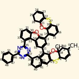 CC1C=CC2Sc3cccc(-c4cc(-c5cccc6c5OC5=C(C=CCC5)S6)c5oc6cccc(-c7nc(C8=CC=CCC8)nc(-c8ccccc8)n7)c6c5c4)c3OC2(C)C1